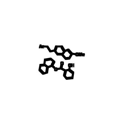 COc1ccc2cc(CCC(C)=O)ccc2c1.O=C(Oc1cccc2ccccc12)c1ccccc1O